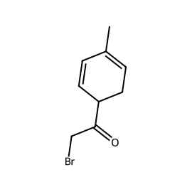 CC1=CCC(C(=O)CBr)C=C1